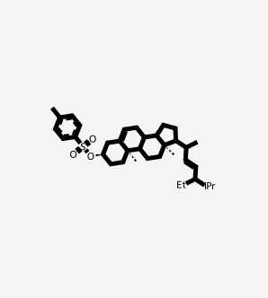 CCC(/C=C/C(C)C1CCC2C3CC=C4C[C@@H](OS(=O)(=O)c5ccc(C)cc5)CC[C@]4(C)C3CC[C@]12C)C(C)C